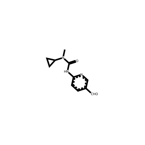 CN(C(=O)Nc1ccc(C=O)cn1)C1CC1